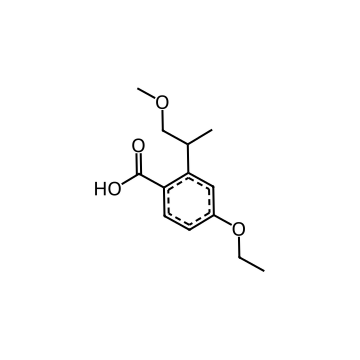 CCOc1ccc(C(=O)O)c(C(C)COC)c1